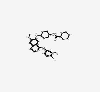 COc1cc2ncnc(Nc3ccc(F)c(Cl)c3)c2cc1OC1CCC(NC(=O)C2CCOCC2)CC1